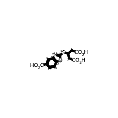 O=C(O)CC(CC(=O)O)Sc1nc2cc(C(=O)O)ccc2o1